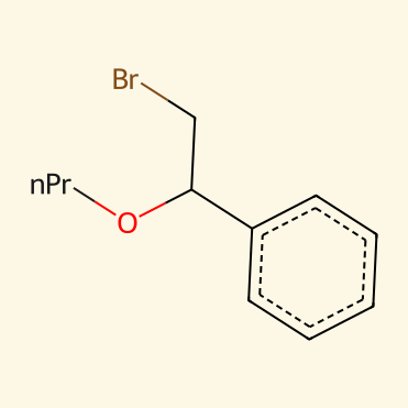 CCCOC(CBr)c1ccccc1